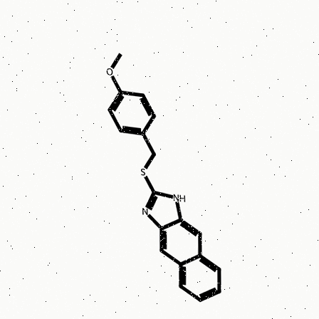 COc1ccc(CSc2nc3cc4ccccc4cc3[nH]2)cc1